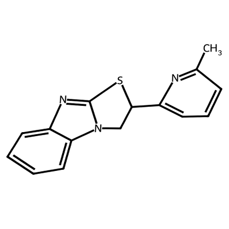 Cc1cccc(C2Cn3c(nc4ccccc43)S2)n1